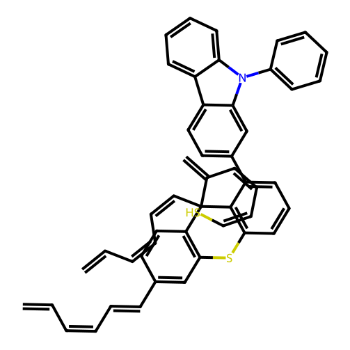 C=C/C=C\C=Cc1ccc2c(c1)Sc1cccc(-c3ccc4c5ccccc5n(-c5ccccc5)c4c3)c1C2(/C=C\C=C/C=C)C(=C)/C=C\C=C/S